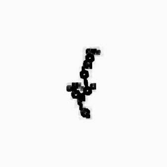 COc1cccc(CNCc2ccc(C#Cc3cc(-c4nn(CCCN5CCSCC5)c5c4CN(C(N)=O)CC5)ccc3Cl)cc2)c1